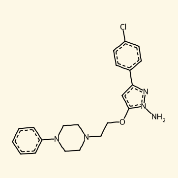 Nn1nc(-c2ccc(Cl)cc2)cc1OCCN1CCN(c2ccccc2)CC1